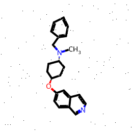 CN(Cc1ccccc1)[C@H]1CC[C@H](Oc2ccc3cnccc3c2)CC1